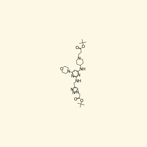 CC(C)(C)OC(=O)CCN1CCC(Nc2cc(N3CCOCC3)nc(NCc3cn(CC(=O)OC(C)(C)C)nn3)n2)CC1